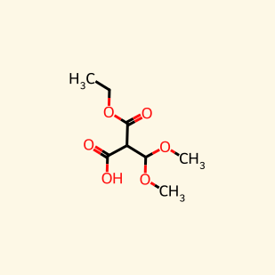 CCOC(=O)C(C(=O)O)C(OC)OC